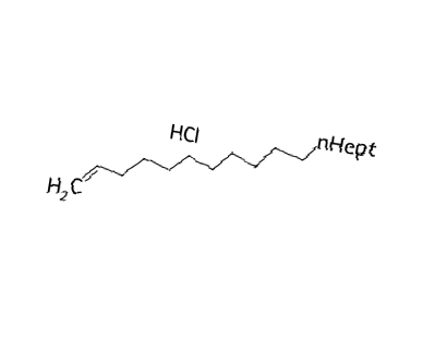 C=CCCCCCCCCCCCCCCCC.Cl